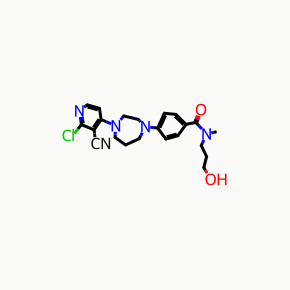 CN(CCCO)C(=O)c1ccc(N2CCCN(c3ccnc(Cl)c3C#N)CC2)cc1